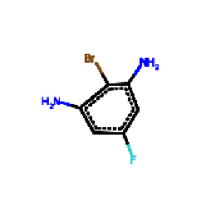 Nc1cc(F)cc(N)c1Br